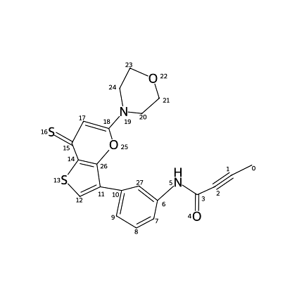 CC#CC(=O)Nc1cccc(-c2csc3c(=S)cc(N4CCOCC4)oc23)c1